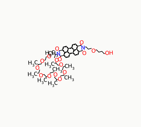 COCCOCC(C)OCC(C)OCC(C)OCC(C)OCC(C)OCC(C)OCC(C)OCC(C)OCC(C)N1C(=O)c2ccc3c4ccc5c6c(ccc(c7ccc(c2c37)C1=O)c64)C(=O)N(CCCOCCCCO)C5=O